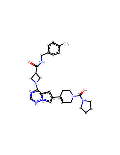 Cc1ccc(CNC(=O)C2CN(c3ncnn4cc(C5=CCN(C(=O)N6CCCC6)CC5)cc34)C2)cc1